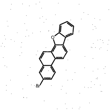 Brc1ccc2c(ccc3c2ccc2c4ccccc4oc23)c1